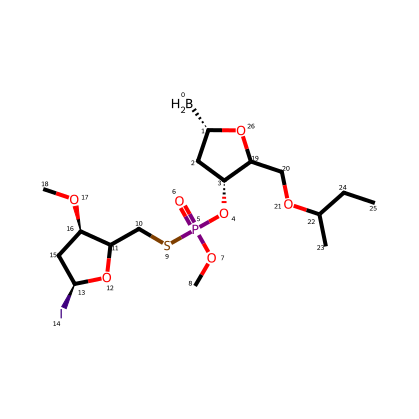 B[C@H]1C[C@@H](OP(=O)(OC)SCC2O[C@@H](I)C[C@H]2OC)C(COC(C)CC)O1